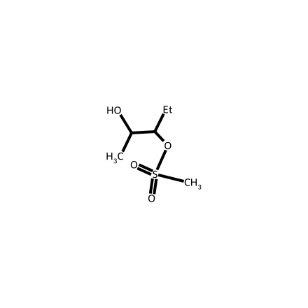 CCC(OS(C)(=O)=O)C(C)O